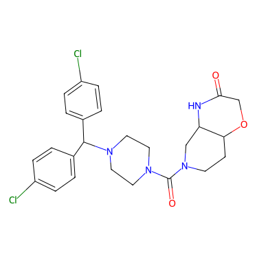 O=C1COC2CCN(C(=O)N3CCN(C(c4ccc(Cl)cc4)c4ccc(Cl)cc4)CC3)CC2N1